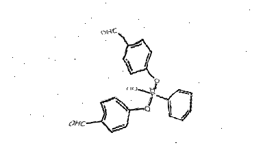 O=Cc1ccc(O[PH](O)(Oc2ccc(C=O)cc2)c2ccccc2)cc1